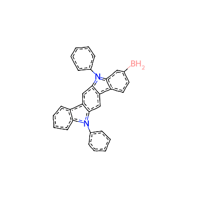 Bc1ccc2c3cc4c(cc3n(-c3ccccc3)c2c1)c1ccccc1n4-c1ccccc1